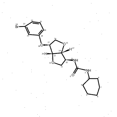 O=C(NC1CCCCC1)N[C@H]1CO[C@H]2[C@@H]1OC[C@@H]2Oc1cccc(Br)c1